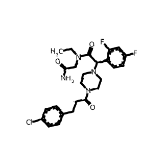 CCN(CC(N)=O)C(=O)C(c1ccc(F)cc1F)N1CCN(C(=O)[CH]Cc2ccc(Cl)cc2)CC1